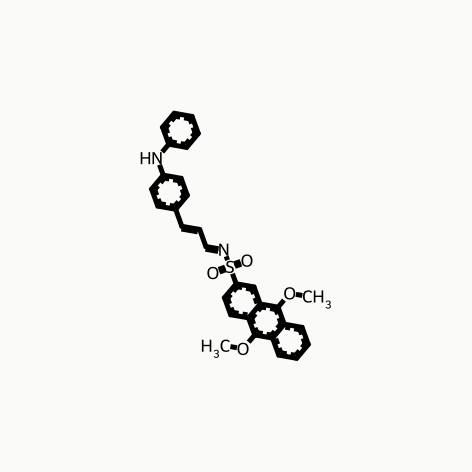 COc1c2ccccc2c(OC)c2cc(S(=O)(=O)N=CC=Cc3ccc(Nc4ccccc4)cc3)ccc12